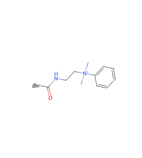 CCC(C)C(=O)NCC[N+](C)(C)c1ccccc1